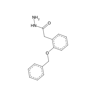 NNC(=O)Cc1ccccc1OCc1ccccc1